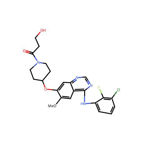 COc1cc2c(Nc3cccc(Cl)c3F)ncnc2cc1OC1CCN(C(=O)CCO)CC1